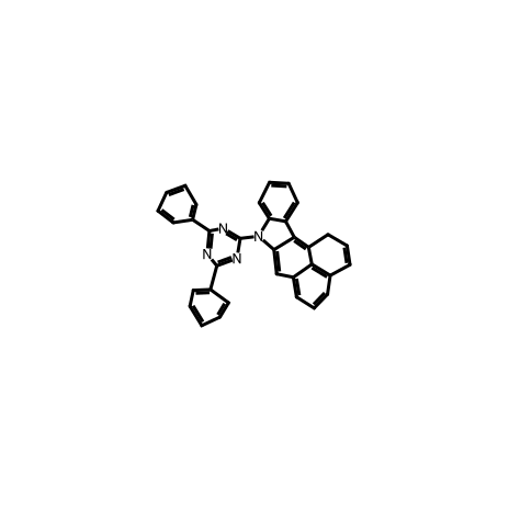 C1=Cc2cccc3cc4c(c(c23)C1)c1ccccc1n4-c1nc(-c2ccccc2)nc(-c2ccccc2)n1